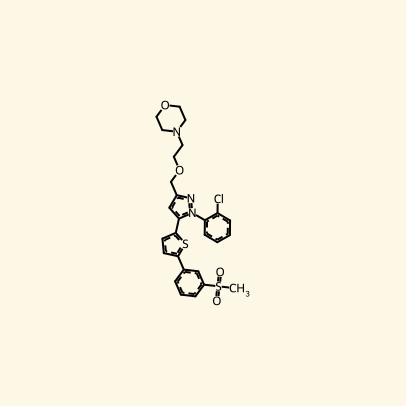 CS(=O)(=O)c1cccc(-c2ccc(-c3cc(COCCN4CCOCC4)nn3-c3ccccc3Cl)s2)c1